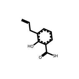 C=CCc1cccc(C(=O)S)c1O